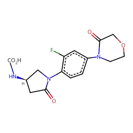 O=C(O)N[C@@H]1CC(=O)N(c2ccc(N3CCOCC3=O)cc2F)C1